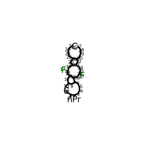 CCCC1CCCCCC2CC(CCC1)CC1CC(F)CC3CC4CCCCCCCCCC4CC3CCC(F)CC21